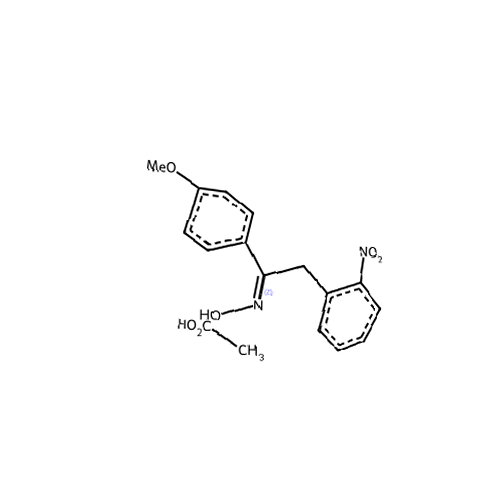 CC(=O)O.COc1ccc(/C(Cc2ccccc2[N+](=O)[O-])=N\O)cc1